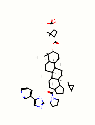 CC1([C@@H]2CC[C@]3(C(=O)N4CCC[C@H]4c4ncc(-c5cccnc5)[nH]4)CC[C@]4(C)[C@H](CC[C@@H]5[C@@]6(C)CC[C@H](OC(=O)[C@H]7C[C@@H](C8(O)OO8)C7(C)C)C(C)(C)[C@@H]6CC[C@]54C)[C@@H]23)CC1